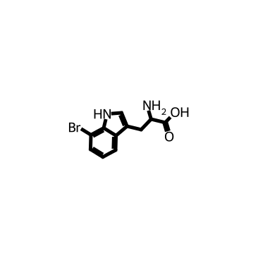 NC(Cc1c[nH]c2c(Br)cccc12)C(=O)O